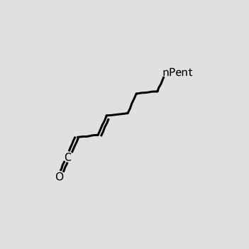 CCCCCCCCC=CC=C=O